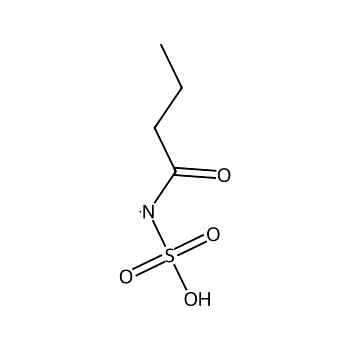 CCCC(=O)[N]S(=O)(=O)O